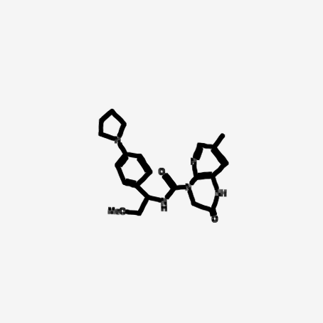 COCC(NC(=O)N1CC(=O)Nc2cc(C)cnc21)c1ccc(N2CCCC2)cc1